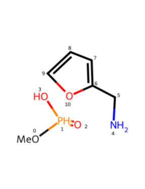 CO[PH](=O)O.NCc1ccco1